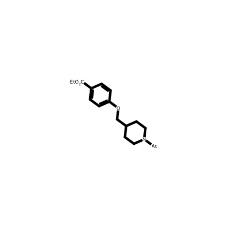 CCOC(=O)c1ccc(OCC2CCN(C(C)=O)CC2)cc1